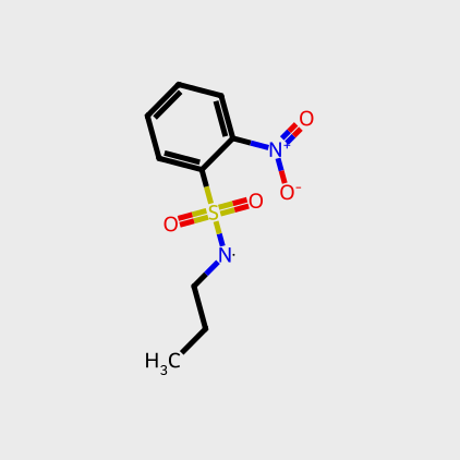 CCC[N]S(=O)(=O)c1ccccc1[N+](=O)[O-]